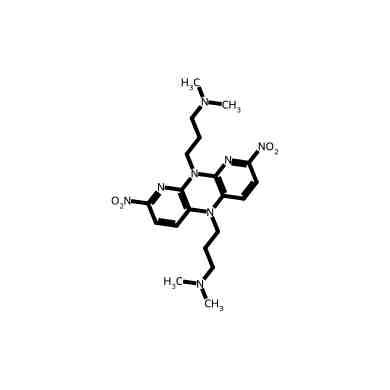 CN(C)CCCN1c2ccc([N+](=O)[O-])nc2N(CCCN(C)C)c2nc([N+](=O)[O-])ccc21